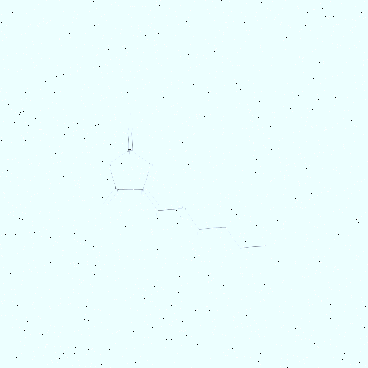 CC(C)CCCN/C=C1\NC(=O)NC1=O